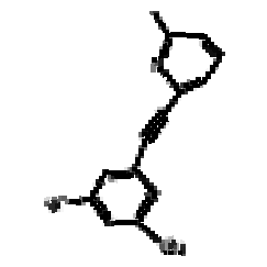 Cc1cccc(C#Cc2cc(C#N)cc(C(C)(C)C)c2)n1